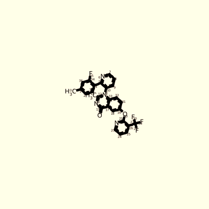 Cc1ccc(-c2ncccc2-n2c(C)nc(=O)c3cc(Oc4ncccc4C(F)(F)F)ccc32)c(F)c1